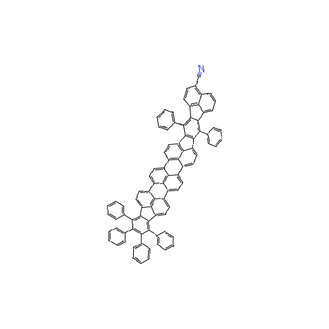 N#Cc1ccc2c3c(-c4ccccc4)c4c5ccc6c7ccc8c9ccc%10c%11c(ccc(c%12ccc(c%13ccc(c4c(-c4ccccc4)c3c3cccc1c32)c5c%136)c7c%128)c%119)-c1c(-c2ccccc2)c(-c2ccccc2)c(-c2ccccc2)c(-c2ccccc2)c1-%10